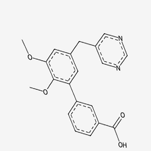 COc1cc(Cc2cncnc2)cc(-c2cccc(C(=O)O)c2)c1OC